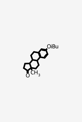 CC(C)COc1ccc2c(c1)CCC1C2CCC2(C)C(=O)CCC12